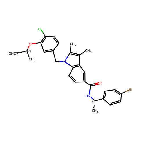 Cc1c(C)n(Cc2ccc(Cl)c(O[C@@H](C)C=O)c2)c2ccc(C(=O)N[C@@H](C)c3ccc(Br)cc3)cc12